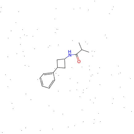 CC(C)C(=O)NC1CC(c2ccccc2)C1